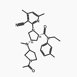 CCN(C(=O)[C@@H]1C[C@H](N(C)C2CCN(C(C)=O)C2)CN1c1nc(C)cc(C)c1C#N)c1cccc(C)c1